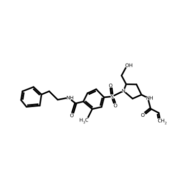 C=CC(=O)NC1CC(CO)N(S(=O)(=O)c2ccc(C(=O)NCCc3ccccc3)c(C)c2)C1